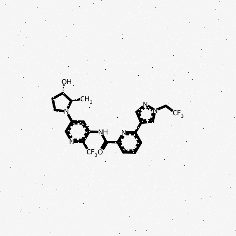 C[C@@H]1[C@@H](O)CCN1c1cnc(C(F)(F)F)c(NC(=O)c2cccc(-c3cnn(CC(F)(F)F)c3)n2)c1